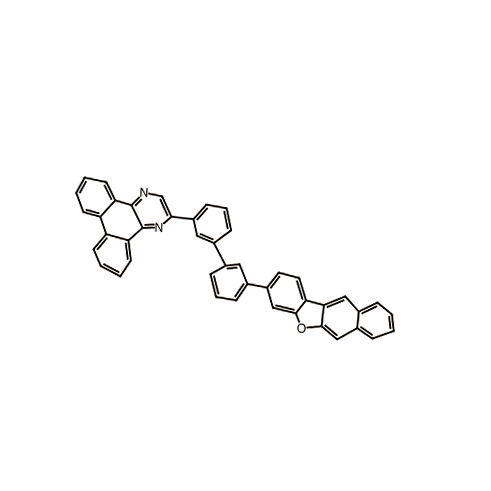 c1cc(-c2cccc(-c3cnc4c5ccccc5c5ccccc5c4n3)c2)cc(-c2ccc3c(c2)oc2cc4ccccc4cc23)c1